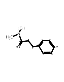 CN(O)C(=O)CCc1ccccc1